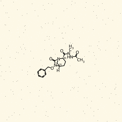 CC(=O)NN(C)C(=O)[C@H]1CC[C@H]2CN1C(=O)N2OCc1ccccc1